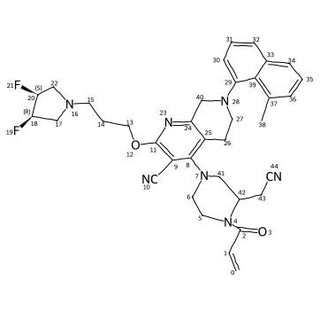 C=CC(=O)N1CCN(c2c(C#N)c(OCCCN3C[C@@H](F)[C@@H](F)C3)nc3c2CCN(c2cccc4cccc(C)c24)C3)CC1CC#N